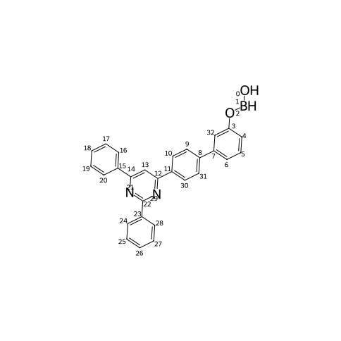 OBOc1cccc(-c2ccc(-c3cc(-c4ccccc4)nc(-c4ccccc4)n3)cc2)c1